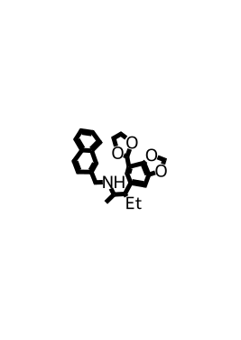 CCC(c1cc2c(c(C3OCCO3)c1)OCO2)C(C)NCc1ccc2ccccc2c1